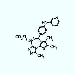 CCOC(=O)C[C@@H]1N=C(c2ccc(Nc3cccnc3)cc2)c2c(sc(C)c2C)-n2c(C)nnc21